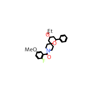 CCOC1CC(c2ccccc2)OC2(CCN(C(=O)c3cc(OC)ccc3F)CC2)C1